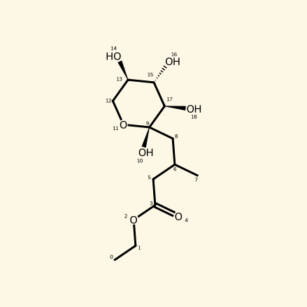 CCOC(=O)CC(C)C[C@]1(O)OC[C@@H](O)[C@H](O)[C@H]1O